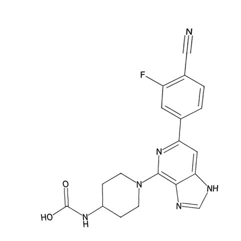 N#Cc1ccc(-c2cc3[nH]cnc3c(N3CCC(NC(=O)O)CC3)n2)cc1F